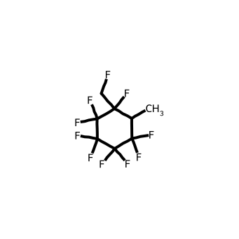 CC1C(F)(F)C(F)(F)C(F)(F)C(F)(F)C1(F)CF